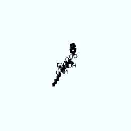 CCCCCCCC(=O)Nc1nc(F)nc2c1ncn2C1CO[C@H](COC(=O)C2CCC3(CCCC3)CC2)[C@]1(O)CC